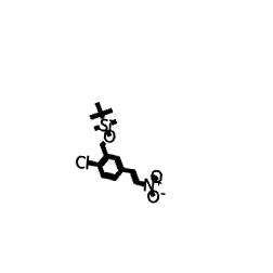 CC(C)(C)[Si](C)(C)OCc1cc(C=C[N+](=O)[O-])ccc1Cl